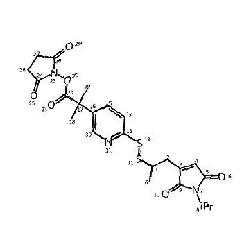 CC(CC1=CC(=O)N(C(C)C)C1=O)SSc1ccc(C(C)(C)C(=O)ON2C(=O)CCC2=O)cn1